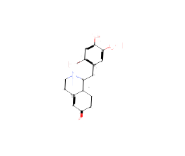 O=C1C=C2CCNC(Cc3cc(O)c(O)cc3Br)C2CC1